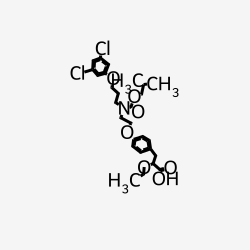 CCOC(Cc1ccc(OCCN(CCCOc2cc(Cl)cc(Cl)c2)C(=O)OCC(C)C)cc1)C(=O)O